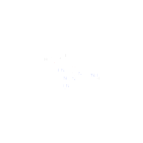 CN[C@@H]1CCN(c2nc(N)nc3c2OC[C@@H]([C@H](C)OC)N3)C1